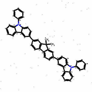 CC1(C)c2cc(-c3ccc4c(c3)c3ccccc3n4-c3ccccc3)ccc2-c2ccc(-c3ccc4c(c3)c3ccccc3n4-c3ccccc3)cc21